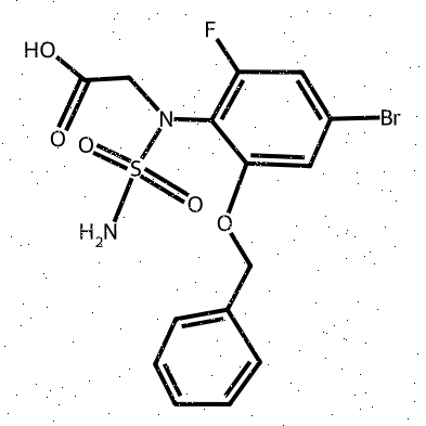 NS(=O)(=O)N(CC(=O)O)c1c(F)cc(Br)cc1OCc1ccccc1